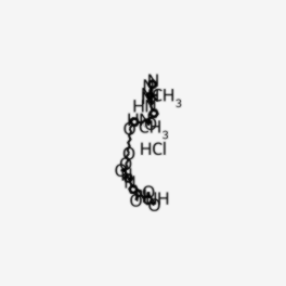 C[C@@H](NC(=O)c1cccc(NCc2nnc(-c3ccncn3)n2C)c1)c1cccc(OCCCCCCOCCOCC(=O)N2CCN(c3ccc4c(c3)CN(C3CCC(=O)NC3=O)C4=O)CC2)c1.Cl